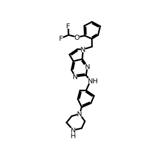 FC(F)Oc1ccccc1Cn1ccc2cnc(Nc3ccc(N4CCNCC4)cc3)nc21